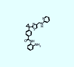 Nc1ccccc1NC(=O)c1ccc(C2(c3nc(CNc4ccccn4)cs3)CC2)cc1